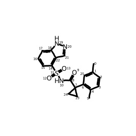 Cc1ccc(C)c(C2(C(=O)NS(=O)(=O)c3cccc4[nH]ncc34)CC2)c1